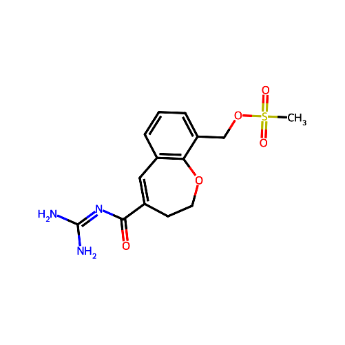 CS(=O)(=O)OCc1cccc2c1OCCC(C(=O)N=C(N)N)=C2